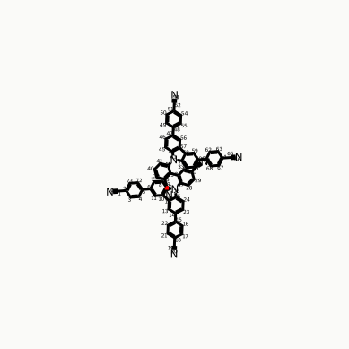 N#Cc1ccc(-c2ccc3c(c2)c2cc(-c4ccc(C#N)cc4)ccc2n3-c2ccc(C#N)cc2-c2c(C#N)cccc2-n2c3ccc(-c4ccc(C#N)cc4)cc3c3cc(-c4ccc(C#N)cc4)ccc32)cc1